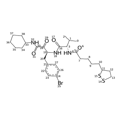 CC(C)[C@H](NC(=O)CCCCC1CCSS1)C(=O)N[C@@H](Cc1ccc(Br)cc1)C(=O)C(=O)NC1CCCCC1